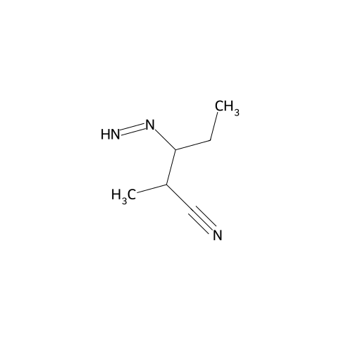 CCC(N=N)C(C)C#N